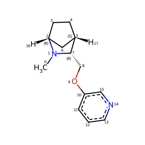 CN1[C@@H]2CC[C@@H](C2)[C@@H]1COc1cccnc1